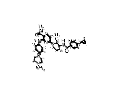 CC1[C@@H](NC(=O)c2ccc(C3CC3)cn2)CCCN1c1cnc(C(N)=O)c(Nc2ccc(N3CCN(C)CC3)cc2)n1